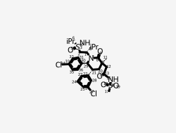 CC(C)[C@@H](CS(=N)(=O)C(C)C)N1C(=O)[C@@](C)(CC(=O)NS(C)(=O)=O)C[C@H](c2cccc(Cl)c2)[C@H]1c1ccc(Cl)cc1